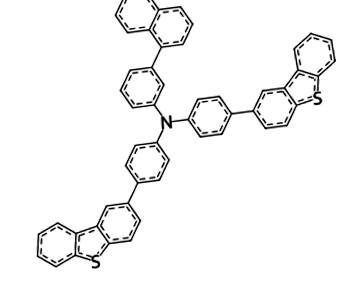 c1cc(-c2cccc3ccccc23)cc(N(c2ccc(-c3ccc4sc5ccccc5c4c3)cc2)c2ccc(-c3ccc4sc5ccccc5c4c3)cc2)c1